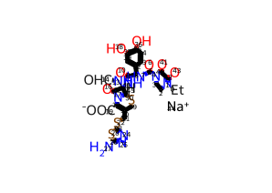 CCN1CCN(C(=O)NC(C(=O)N[C@]2(NC=O)C(=O)N3C(C(=O)[O-])=C(CSc4nnc(N)s4)CS[C@H]32)c2ccc(O)c(O)c2)C(=O)C1=O.[Na+]